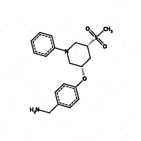 CS(=O)(=O)[C@@H]1C[C@H](Oc2ccc(CN)cc2)CN(c2ccccc2)C1